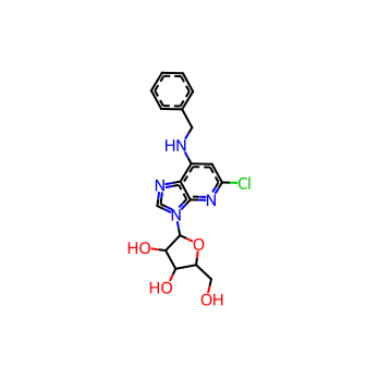 OCC1OC(n2cnc3c(NCc4ccccc4)cc(Cl)nc32)C(O)C1O